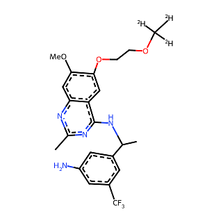 [2H]C([2H])([2H])OCCOc1cc2c(NC(C)c3cc(N)cc(C(F)(F)F)c3)nc(C)nc2cc1OC